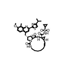 COc1ccc2c(C[C@@H]3C[C@H]4C(=O)N[C@]5(C(=O)NS(=O)(=O)C6CC6)C[C@H]5/C=C\CCCCCNC(=O)N4C3)cc(-c3nc(C(C)C)cs3)nc2c1C